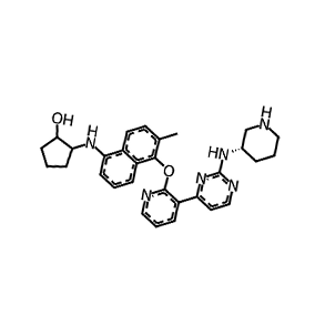 Cc1ccc2c(NC3CCCC3O)cccc2c1Oc1ncccc1-c1ccnc(N[C@H]2CCCNC2)n1